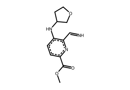 COC(=O)c1ccc(NC2CCOC2)c(C=N)n1